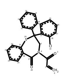 C=CC(=O)N1CC(c2ccccc2)(c2ccccc2Cl)Sc2ccccc2C1=O